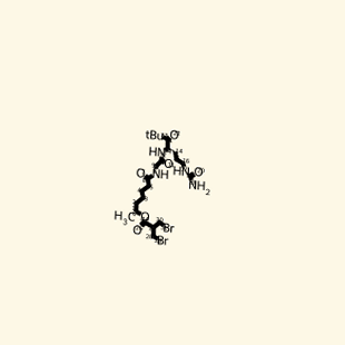 CC(CCCCC(=O)NCC(=O)N[C@@H](CCCNC(N)=O)C(=O)C(C)(C)C)OC(=O)C(CBr)CBr